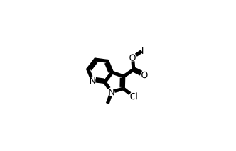 Cn1c(Cl)c(C(=O)OI)c2cccnc21